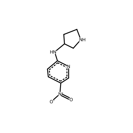 O=[N+]([O-])c1ccc(NC2CCNC2)nc1